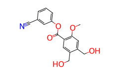 COc1cc(CO)c(CO)cc1C(=O)Oc1cccc(C#N)c1